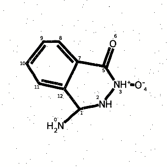 NC1N[NH+]([O-])C(=O)c2ccccc21